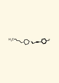 CCCCC[C@H]1CC[C@H](C=CC#Cc2ccc(F)cc2)CC1